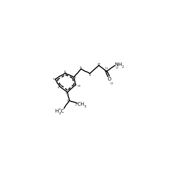 CC(C)c1cccc(CCCC(N)=O)c1